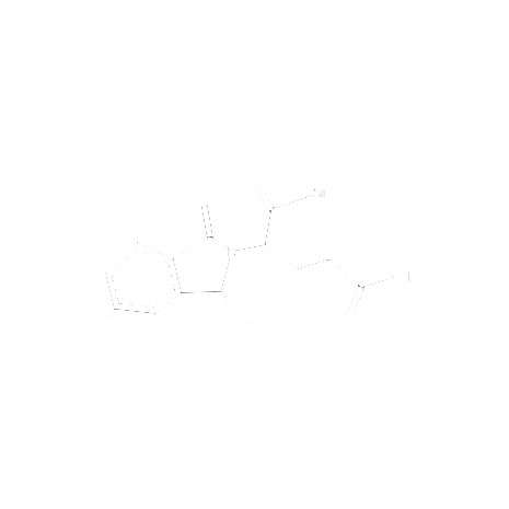 CC(=O)CCC(C(N)=O)N1C(=O)c2ccc(F)cc2C1O